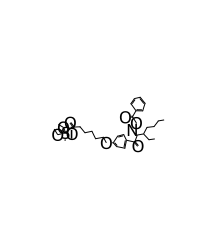 CCCCC(CC)/C(=N\OC(=O)c1ccccc1)C(=O)c1ccc(OCCCCCC(=O)O[Si](C)(OC)OC)cc1